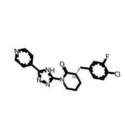 O=C1[C@H](Cc2ccc(Cl)c(F)c2)CCCN1c1nnc(-c2ccncc2)[nH]1